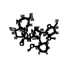 COc1cccc(OC)c1-n1c(NS(=O)(=O)C[C@H](C)c2ncc(F)cn2)nnc1-c1ccc(C)o1